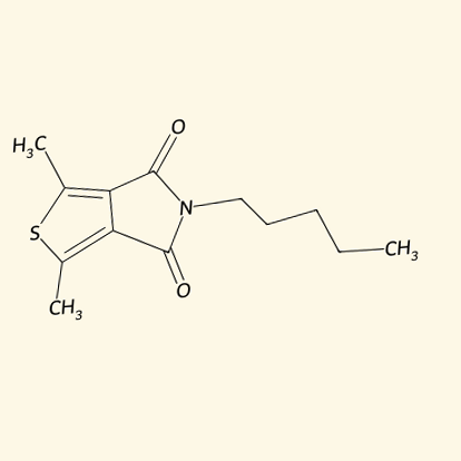 CCCCCN1C(=O)c2c(C)sc(C)c2C1=O